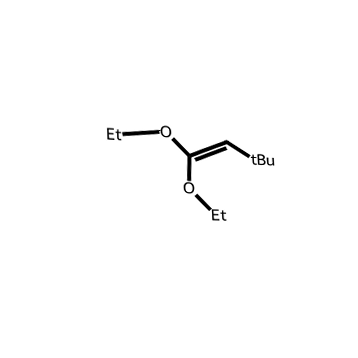 CCOC(=CC(C)(C)C)OCC